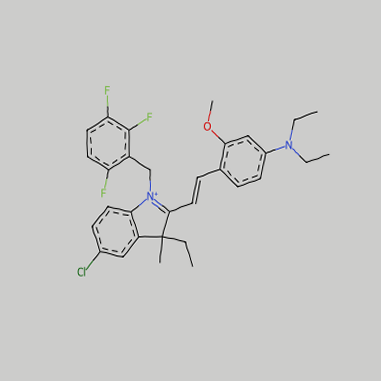 CCN(CC)c1ccc(/C=C/C2=[N+](Cc3c(F)ccc(F)c3F)c3ccc(Cl)cc3C2(C)CC)c(OC)c1